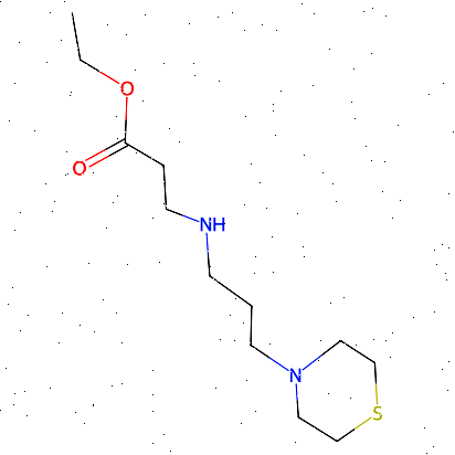 CCOC(=O)CCNCCCN1CCSCC1